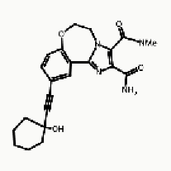 CNC(=O)c1c(C(N)=O)nc2n1CCOc1ccc(C#CC3(O)CCCCC3)cc1-2